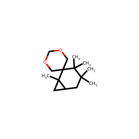 CC1(C)CC2CC2(C)C2(COCOC2)C1(C)C